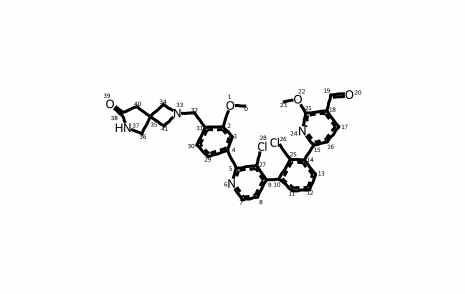 COc1cc(-c2nccc(-c3cccc(-c4ccc(C=O)c(OC)n4)c3Cl)c2Cl)ccc1CN1CC2(CNC(=O)C2)C1